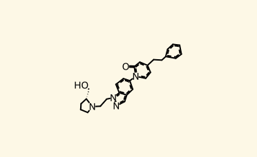 O=c1cc(CCc2ccccc2)ccn1-c1ccc2c(cnn2CCN2CCC[C@@H]2CO)c1